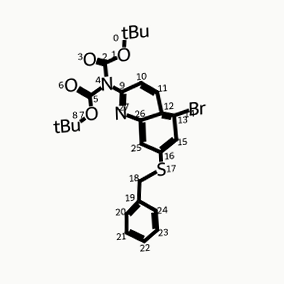 CC(C)(C)OC(=O)N(C(=O)OC(C)(C)C)c1ccc2c(Br)cc(SCc3ccccc3)cc2n1